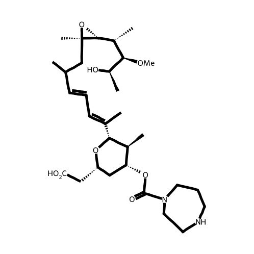 CO[C@H]([C@@H](C)[C@H]1O[C@]1(C)CC(C)/C=C/C=C(\C)[C@H]1O[C@@H](CC(=O)O)C[C@@H](OC(=O)N2CCCNCC2)[C@@H]1C)[C@@H](C)O